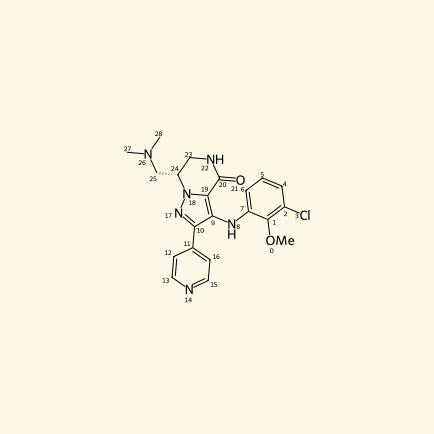 COc1c(Cl)cccc1Nc1c(-c2ccncc2)nn2c1C(=O)NC[C@H]2CN(C)C